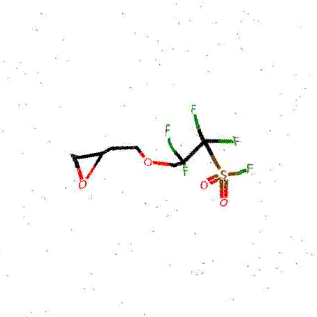 O=S(=O)(F)C(F)(F)C(F)(F)OCC1CO1